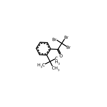 CC(C)(C)c1ccccc1C(=O)C(Br)(Br)Br